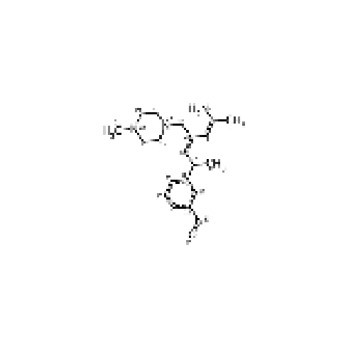 C/C(N)=C/C(=C\C(C)c1cccc(N=O)c1)CN1CCN(C)CC1